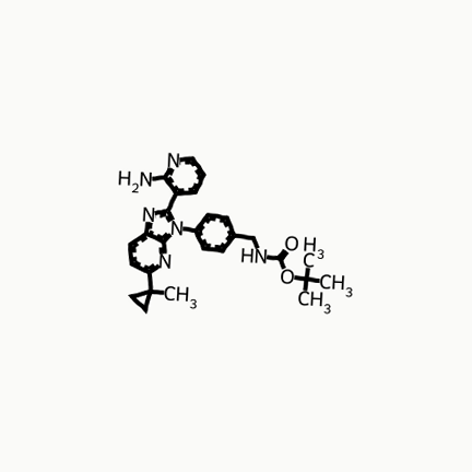 CC(C)(C)OC(=O)NCc1ccc(-n2c(-c3cccnc3N)nc3ccc(C4(C)CC4)nc32)cc1